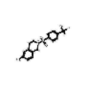 O=S(=O)(c1ccc(C(F)(F)F)cc1)N1CCc2cc(Br)ccc2C1